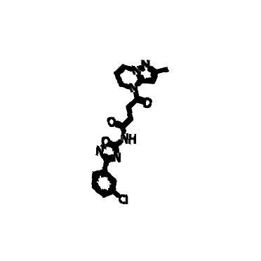 Cc1cc2n(n1)CCCN2C(=O)CCC(=O)Nc1nc(-c2cccc(Cl)c2)no1